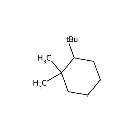 CC(C)(C)C1CC[CH]CC1(C)C